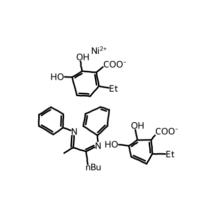 CCCCC(=Nc1ccccc1)C(C)=Nc1ccccc1.CCc1ccc(O)c(O)c1C(=O)[O-].CCc1ccc(O)c(O)c1C(=O)[O-].[Ni+2]